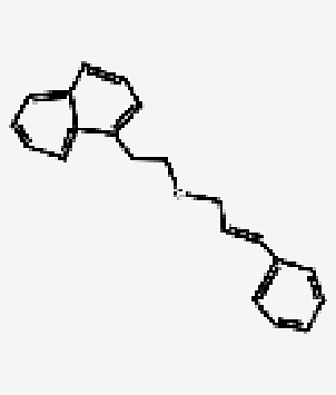 C(=Cc1ccccc1)COCCc1cccc2ccccc12